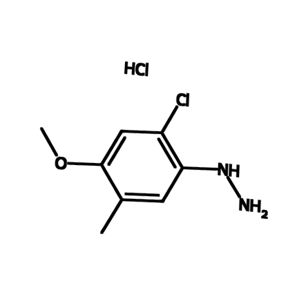 COc1cc(Cl)c(NN)cc1C.Cl